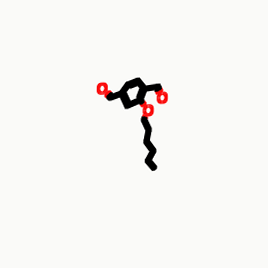 CCCCCCOc1cc(C=O)ccc1C=O